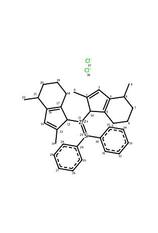 CC1=CC2=C(CCCC2C)[CH]1[Zr+2]([CH]1C(C)=CC2=C1CCCC2C)=[Si](c1ccccc1)c1ccccc1.[Cl-].[Cl-]